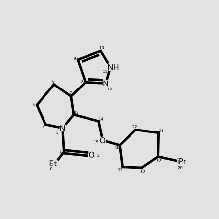 CCC(=O)N1CCCC(c2cc[nH]n2)C1COC1CCC(C(C)C)CC1